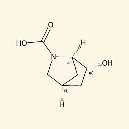 O=C(O)N1C[C@@H]2C[C@@H](O)[C@H]1C2